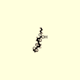 CCCCOC(O)c1ccc(-c2ccc(C3OCCO3)o2)o1